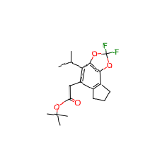 CC(C)c1c(CC(=O)OC(C)(C)C)c2c(c3c1OC(F)(F)O3)CCC2